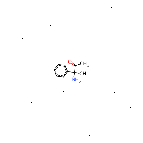 CC(=O)C(C)(N)c1ccccc1